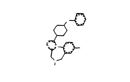 CN1Cc2cc(Cl)ccc2-n2c(nnc2C2CCC(Oc3ccccc3)CC2)C1